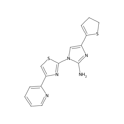 Nc1nc(C2=CCCS2)cn1-c1nc(-c2ccccn2)cs1